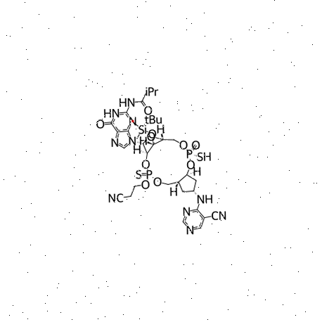 CC(C)C(=O)Nc1nc2c(ncn2[C@@H]2O[C@@H]3CO[P@](=O)(S)O[C@H]4C[C@H](Nc5ncncc5C#N)C[C@@H]4CO[P@](=S)(OCCC#N)O[C@@H]2[C@@H]3O[Si](C)(C)C(C)(C)C)c(=O)[nH]1